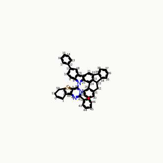 C1=Cc2c(sc3c(-n4c5ccc(-c6ccccc6)cc5c5cc6c7c(c54)-c4ccccc4CC7c4ccccc4-6)nc(-c4ccccc4)nc23)CC1